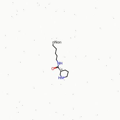 CCCCCCCCCCCCCCNC(=O)[C@H]1CCCNC1